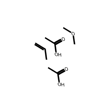 C=CC.CC(=O)O.CC(=O)O.COC